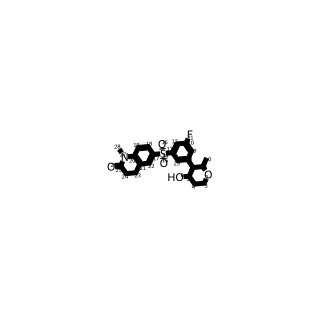 CC1OCCC(O)C1c1cc(F)cc(S(=O)(=O)c2ccc3c(c2)CCC(=O)N3C)c1